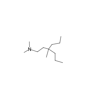 CCCC(C)(CCC)CCN(C)C